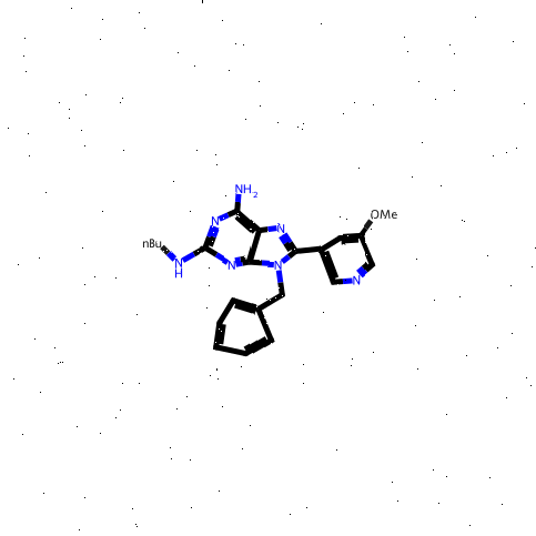 CCCCNc1nc(N)c2nc(-c3cncc(OC)c3)n(Cc3ccccc3)c2n1